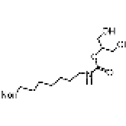 CCCCCCCCCCCCCCCCNC(=O)OC(CO)CO